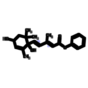 CC1=CC(O)CC(C)(C)C1(O)/C=C/C(C)=C/C(=O)Oc1ccccc1